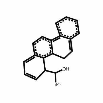 C[C](C)C(O)C1C=CC=c2ccc3c(c21)CC=c1ccccc1=3